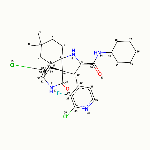 CC1(C)CCC2(CC1)N[C@@H](C(=O)NC1CCCCC1)[C@H](c1ccnc(Cl)c1F)[C@]21C(=O)Nc2cc(Cl)ccc21